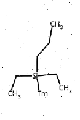 CCC[Si]([Tm])(CC)CC